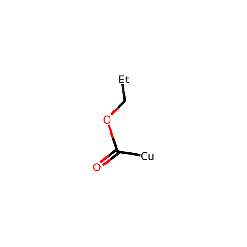 CCCO[C](=O)[Cu]